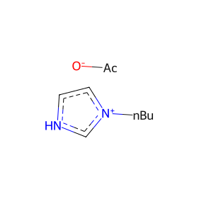 CC(=O)[O-].CCCC[n+]1cc[nH]c1